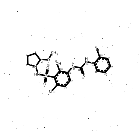 CO[C@@H]1CCCN1NS(=O)(=O)c1c(Cl)ccc(NC(=S)Nc2ccccc2Br)c1O